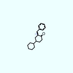 O=C1CCC(C2CCCCC2)C/C1=C/c1ccccc1